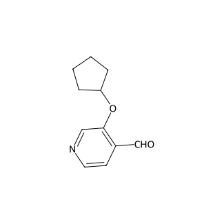 O=Cc1ccncc1OC1CCCC1